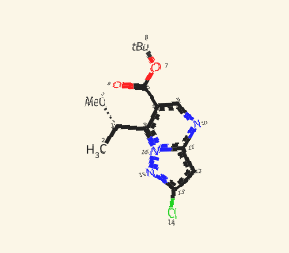 CO[C@@H](C)c1c(C(=O)OC(C)(C)C)cnc2cc(Cl)nn12